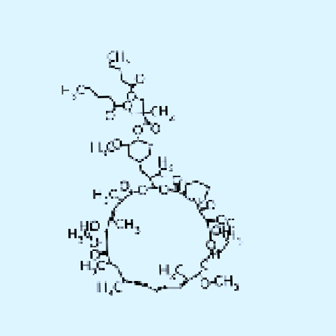 CCCCC(=O)OCC(C)(COC(=O)CCCC)C(=O)O[C@@H]1CC[C@@H](C[C@@H](C)[C@@H]2CC(=O)[C@H](C)/C=C(\C)[C@@H](O)[C@@H](OC)C(=O)[C@H](C)C[C@H](C)/C=C/C=C/C=C(\C)[C@@H](OC)C[C@@H]3CC[C@@H](C)[C@@](O)(O3)C(=O)C(=O)N3CCCC[C@H]3C(=O)O2)C[C@H]1OC